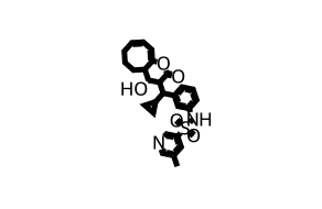 Cc1cncc(S(=O)(=O)Nc2cccc(C(C3CC3)C3C(=O)OC4=CC=CCCCC4C3O)c2)c1